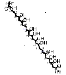 CC(C)C(=O)CC(O)CC(O)CC(O)/C=C/CC(O)CC(O)CC(O)CC(O)/C=C/CC(O)CC(O)CCCNC(=O)C(C)C